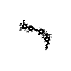 C=CCCc1cc(F)c(C(F)(F)Oc2ccc(C#Cc3ccc(-c4cc(F)c(F)c(F)c4)c(F)c3)c(F)c2)c(F)c1